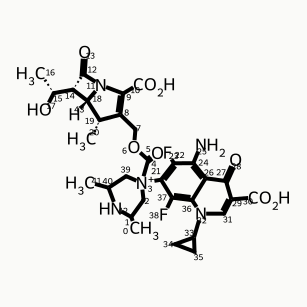 CC1C[N+](C(=O)OCC2=C(C(=O)O)N3C(=O)[C@@H]([C@@H](C)O)[C@H]3[C@H]2C)(c2c(F)c(N)c3c(=O)c(C(=O)O)cn(C4CC4)c3c2F)CC(C)N1